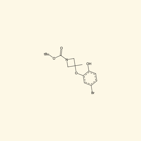 CC(C)(C)OC(=O)N1CC(C)(Oc2cc(Br)ccc2O)C1